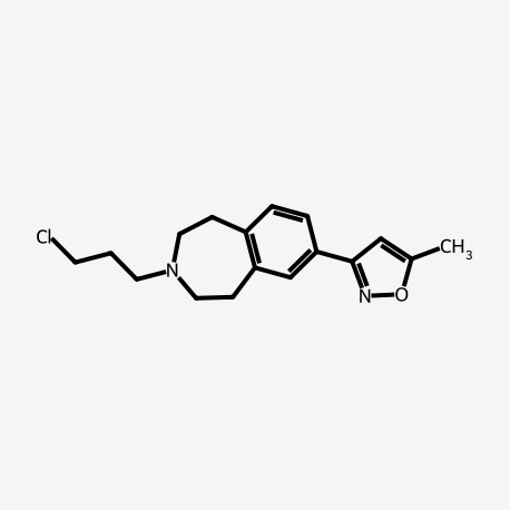 Cc1cc(-c2ccc3c(c2)CCN(CCCCl)CC3)no1